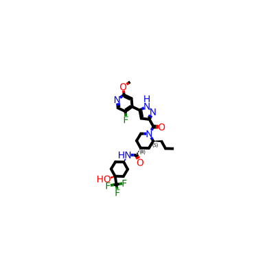 CCC[C@H]1C[C@H](C(=O)N[C@H]2CC[C@@](O)(C(F)(F)F)CC2)CCN1C(=O)c1cc(-c2cc(OC)ncc2F)[nH]n1